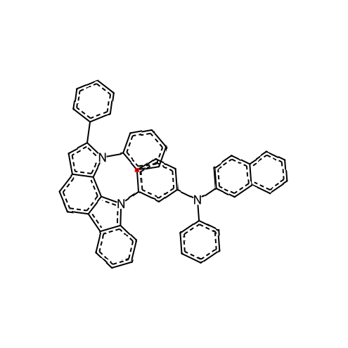 c1ccc(-c2cc3ccc4c5ccccc5n(-c5cccc(N(c6ccccc6)c6ccc7ccccc7c6)c5)c4c3n2-c2ccccc2)cc1